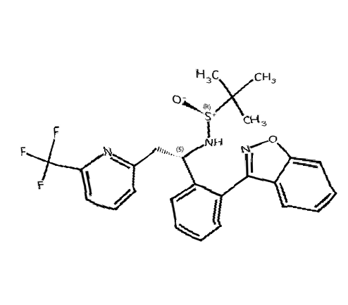 CC(C)(C)[S@+]([O-])N[C@@H](Cc1cccc(C(F)(F)F)n1)c1ccccc1-c1noc2ccccc12